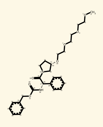 COCCOCCOCCO[C@H]1CCN(C(=O)[C@@H](NC(=O)OCc2ccccc2)c2ccccc2)C1